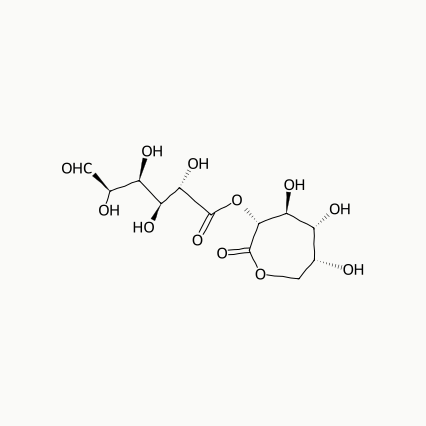 O=C[C@H](O)[C@@H](O)[C@H](O)[C@H](O)C(=O)O[C@H]1C(=O)OC[C@@H](O)[C@@H](O)[C@@H]1O